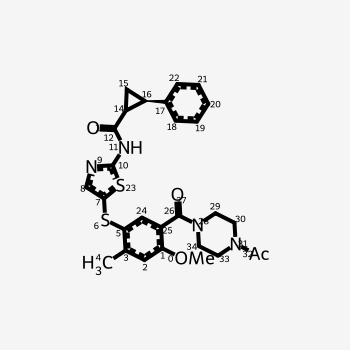 COc1cc(C)c(Sc2cnc(NC(=O)C3C[C@H]3c3ccccc3)s2)cc1C(=O)N1CCN(C(C)=O)CC1